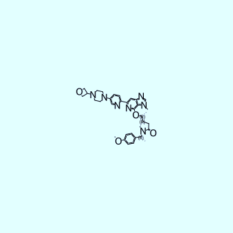 COc1ccc([C@@H](C)N2C[C@H]([C@@H](C)Oc3nc(-c4ccc(N5CCN(C6COC6)CC5)cn4)cc4ncn(C)c34)CC2=O)cc1